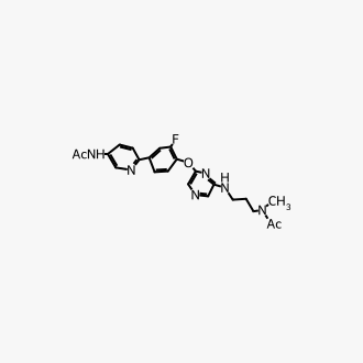 CC(=O)Nc1ccc(-c2ccc(Oc3cncc(NCCCN(C)C(C)=O)n3)c(F)c2)nc1